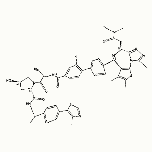 Cc1ncsc1-c1ccc(C(C)NC(=O)[C@@H]2C[C@@H](O)CN2C(=O)C(NC(=O)c2ccc(-c3ccc(C4=N[C@@H](CC(=O)N(C)C)c5nnc(C)n5-c5sc(C)c(C)c54)cc3)c(F)c2)C(C)(C)C)cc1